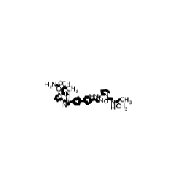 CCC(C)NCC(=O)N1CCC[C@H]1c1ncc(-c2ccc(-c3ccc(-c4cnc([C@@H]5CCCN5C(=O)[C@@H](OC(N)=O)C(C)C)[nH]4)cc3)cc2)[nH]1